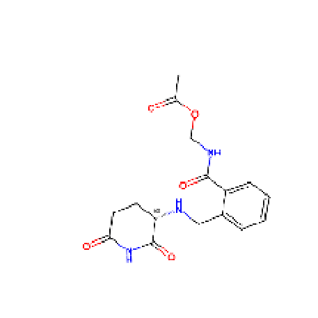 CC(=O)OCNC(=O)c1ccccc1CN[C@H]1CCC(=O)NC1=O